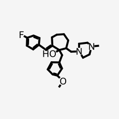 COc1cccc(CC2(O)C(=Cc3ccc(F)cc3)CCCCC2CN2CCN(C)CC2)c1